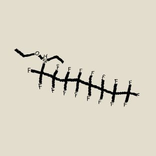 CCO[SiH](CC)C(F)(F)C(F)(F)C(F)(F)C(F)(F)C(F)(F)C(F)(F)C(F)(F)C(F)(F)F